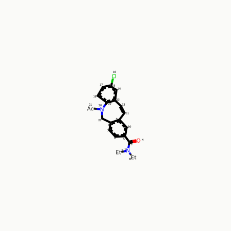 CCN(CC)C(=O)c1ccc2c(c1)/C=C\c1cc(Cl)ccc1N(C(C)=O)C2